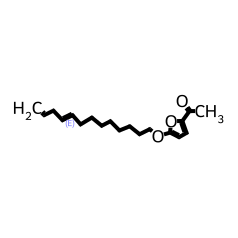 C=CC/C=C/CCCCCCCCOc1ccc(C(C)=O)o1